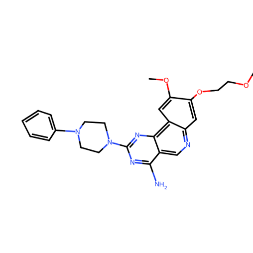 COCCOc1cc2ncc3c(N)nc(N4CCN(c5ccccc5)CC4)nc3c2cc1OC